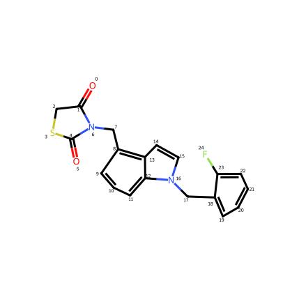 O=C1CSC(=O)N1Cc1cccc2c1ccn2Cc1ccccc1F